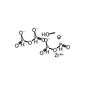 CO.O=[PH]([O-])O[PH](=O)[O-].O=[PH]([O-])O[PH](=O)[O-].[Zr+4]